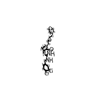 O=c1[nH]c(NCc2ccc(Cl)c(Cl)c2)nc2ncn(CCOCCN3CCOCC3)c12